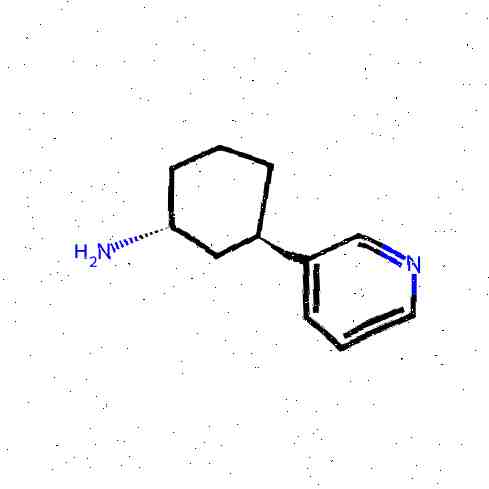 N[C@@H]1CCC[C@@H](c2cccnc2)C1